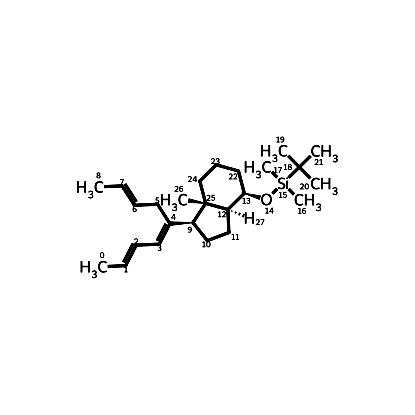 C/C=C/C=C(\C/C=C/C)[C@@H]1CC[C@@H]2[C@H](O[Si](C)(C)C(C)(C)C)CCC[C@]21C